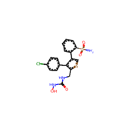 NS(=O)(=O)c1ccccc1-c1csc(CNC(=O)NO)c1-c1ccc(Cl)cc1